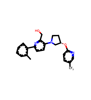 Cc1ccccc1-c1ccc(N2CC[C@H](Oc3ccc(C(F)(F)F)cn3)C2)c(CO)n1